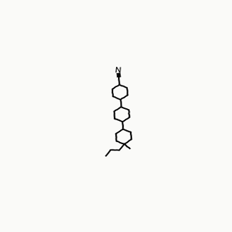 CCCC1(C)CCC(C2CCC(C3CCC(C#N)CC3)CC2)CC1